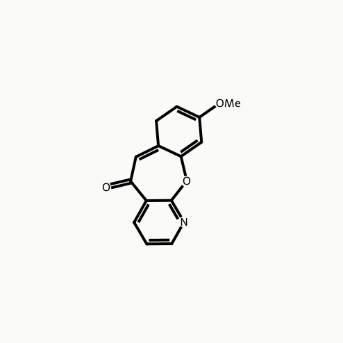 COC1=CCC2=CC(=O)c3cccnc3OC2=C1